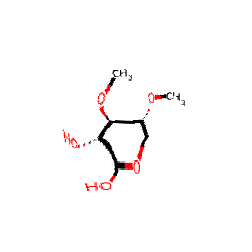 CO[C@H]1[C@H](OC)COC(O)[C@@H]1O